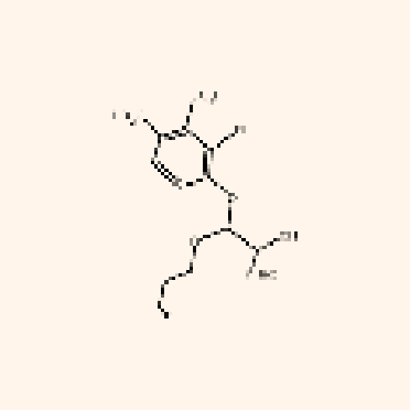 CCCCCCC(O)C(OCCC(C)C)Oc1ccc(C(=O)O)c(C(=O)O)c1Br